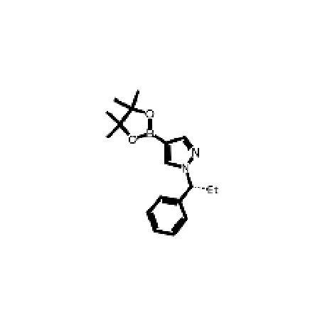 CC[C@H](c1ccccc1)n1cc(B2OC(C)(C)C(C)(C)O2)cn1